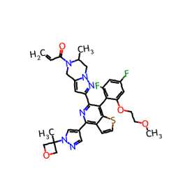 C=CC(=O)N1Cc2cc(-c3nc(-c4cnn(C5(C)COC5)c4)c4ccsc4c3-c3c(F)cc(F)cc3OCCOC)nn2CC1C